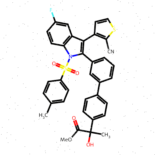 COC(=O)C(C)(O)c1ccc(-c2cccc(-c3c(-c4ccsc4C#N)c4cc(F)ccc4n3S(=O)(=O)c3ccc(C)cc3)c2)cc1